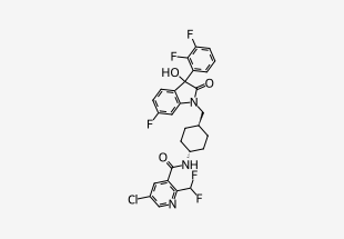 O=C(N[C@H]1CC[C@H](CN2C(=O)C(O)(c3cccc(F)c3F)c3ccc(F)cc32)CC1)c1cc(Cl)cnc1C(F)F